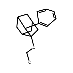 ClCOC12CC3CC(CC1C3)C2c1ccccc1